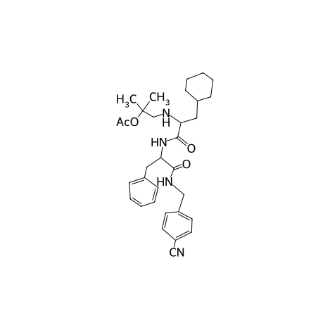 CC(=O)OC(C)(C)CNC(CC1CCCCC1)C(=O)NC(Cc1ccccc1)C(=O)NCc1ccc(C#N)cc1